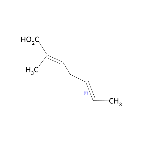 C/C=C/CC=C(C)C(=O)O